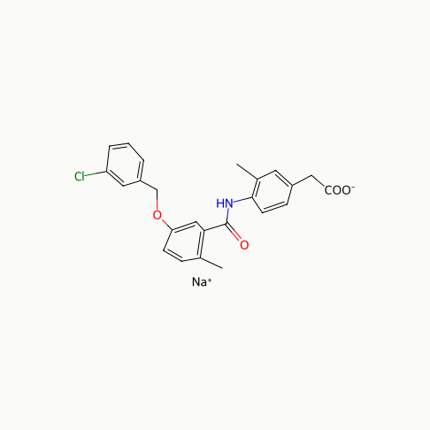 Cc1cc(CC(=O)[O-])ccc1NC(=O)c1cc(OCc2cccc(Cl)c2)ccc1C.[Na+]